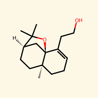 CC1(C)O[C@]23C[C@H]1CC[C@]2(C)CCC=C3CCO